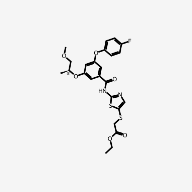 CCOC(=O)CSc1cnc(NC(=O)c2cc(Oc3ccc(F)cc3)cc(O[C@@H](C)COC)c2)s1